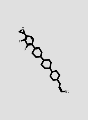 CC/C=C\CC1CCC(C2CCC(C3CC=C(c4ccc(C5CO5)c(F)c4F)CC3)CC2)CC1